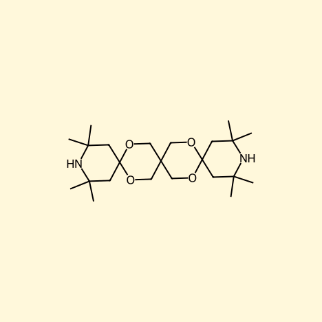 CC1(C)CC2(CC(C)(C)N1)OCC1(CO2)COC2(CC(C)(C)NC(C)(C)C2)OC1